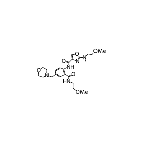 COCCNC(=O)c1cc(CN2CCOCC2)ccc1NC(=O)c1coc(N(C)CCOC)n1